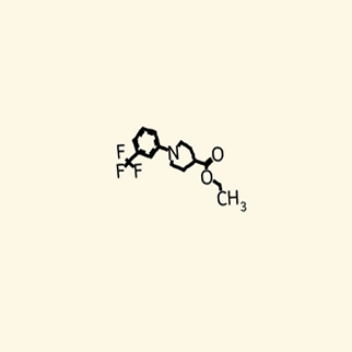 CCOC(=O)C1CCN(c2cccc(C(F)(F)F)c2)CC1